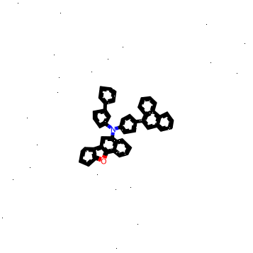 c1ccc(-c2cccc(N(c3ccc(-c4cc5ccccc5c5ccccc45)cc3)c3cc4c5ccccc5oc4c4ccccc34)c2)cc1